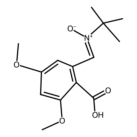 COc1cc(/C=[N+](\[O-])C(C)(C)C)c(C(=O)O)c(OC)c1